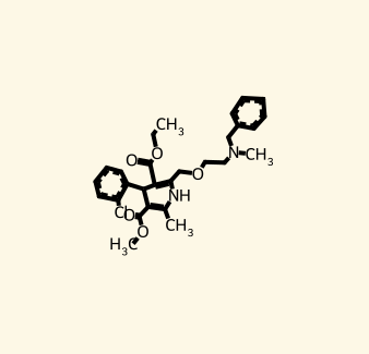 CCOC(=O)C1=C(COCCN(C)Cc2ccccc2)NC(C)=C(C(=O)OC)C1c1ccccc1Cl